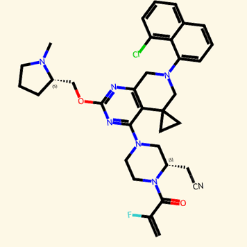 C=C(F)C(=O)N1CCN(c2nc(OC[C@@H]3CCCN3C)nc3c2C2(CC2)CN(c2cccc4cccc(Cl)c24)C3)C[C@@H]1CC#N